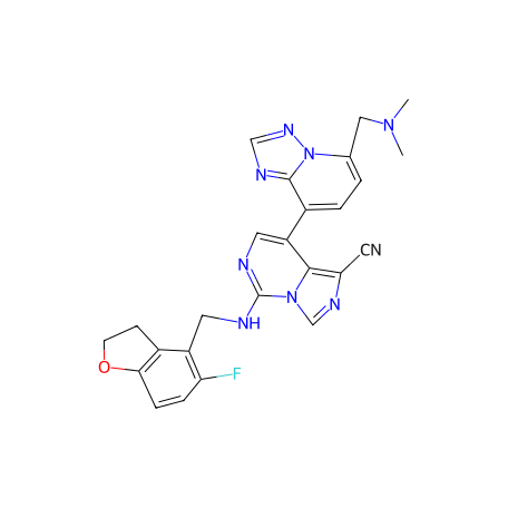 CN(C)Cc1ccc(-c2cnc(NCc3c(F)ccc4c3CCO4)n3cnc(C#N)c23)c2ncnn12